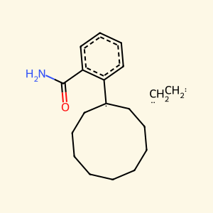 NC(=O)c1ccccc1[C]1CCCCCCCCC1.[CH2].[CH2]